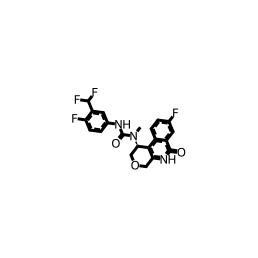 CN(C(=O)Nc1ccc(F)c(C(F)F)c1)[C@H]1COCc2[nH]c(=O)c3cc(F)ccc3c21